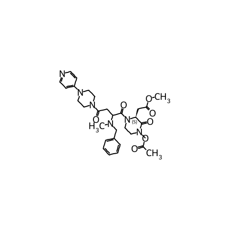 COC(=O)C[C@H]1C(=O)N(OC(C)=O)CCN1C(=O)C(CC(=O)N1CCN(c2ccncc2)CC1)N(C)Cc1ccccc1